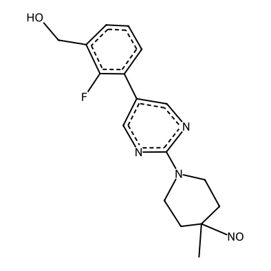 CC1(N=O)CCN(c2ncc(-c3cccc(CO)c3F)cn2)CC1